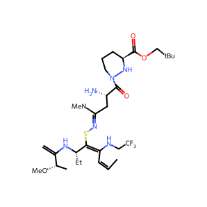 C=C(N[C@@H](CC)C(S/N=C(/C[C@H](N)C(=O)N1CCC[C@@H](C(=O)OCC(C)(C)C)N1)NC)=C(/C=C\C)NCC(F)(F)F)[C@H](C)OC